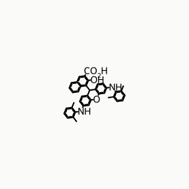 Cc1cccc(C)c1Nc1ccc2c(c1)Oc1cc(Nc3c(C)cccc3C)ccc1C2c1c(O)c(C(=O)O)cc2ccccc12